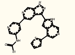 CCC(=O)Nc1cncc(-c2cc3c(-c4cc5c(-c6cccs6)cncc5[nH]4)n[nH]c3cn2)c1